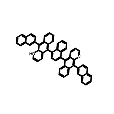 C1=CNC2C(=C1)C(c1ccc(-c3c4ccccc4c(-c4ccc5ccccc5c4)c4ncccc34)c3ccccc13)=c1ccccc1=C2c1ccc2ccccc2c1